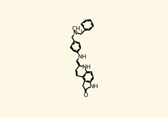 CN(Cc1ccccc1)Cc1ccc(N/C=C2/C=Cc3c(ccc4c3CC(=O)N4)N2)cc1